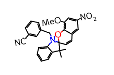 COc1cc([N+](=O)[O-])cc2c1OC1(C=C2)N(Cc2cccc(C#N)c2)c2ccccc2C1(C)C